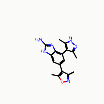 Cc1n[nH]c(C)c1-c1cc(-c2c(C)noc2C)cc2[nH]c(N)nc12